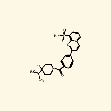 CC(C)C1(O)CCN(C(=O)c2ccc(-c3ccc4cccc(S(N)(=O)=O)c4n3)cc2)CC1